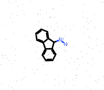 [N][N+]C1c2ccccc2-c2ccccc21